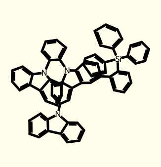 c1ccc([Si](c2ccccc2)(c2ccccc2)c2ccccc2-c2ccc3c(c2)c2cc(-n4c5ccccc5c5ccccc54)ccc2n3-c2ccccc2-n2c3ccccc3c3ccccc32)cc1